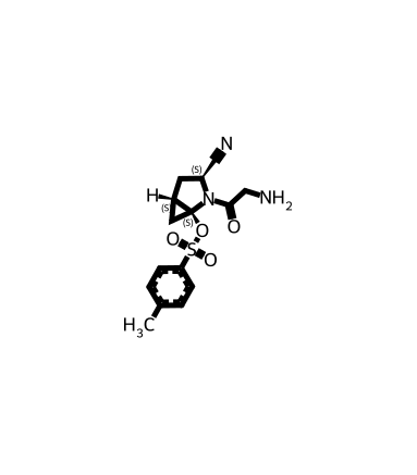 Cc1ccc(S(=O)(=O)O[C@@]23C[C@@H]2C[C@@H](C#N)N3C(=O)CN)cc1